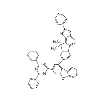 CC1(C)c2cc(-c3cc(-c4nc(-c5ccccc5)nc(-c5ccccc5)n4)cc4oc5ccccc5c34)ccc2-c2ccc3sc(-c4ccccc4)nc3c21